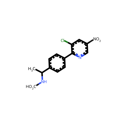 CC(NC(=O)O)c1ccc(-c2ncc([N+](=O)[O-])cc2Cl)cc1